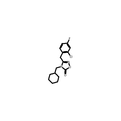 O=c1onc(Cc2ccc(F)cc2Cl)n1CC1CCCCC1